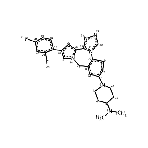 CN(C)C1CCN(c2ccc3c(c2)Cn2cc(-c4ccc(F)cc4F)cc2-c2nncn2-3)CC1